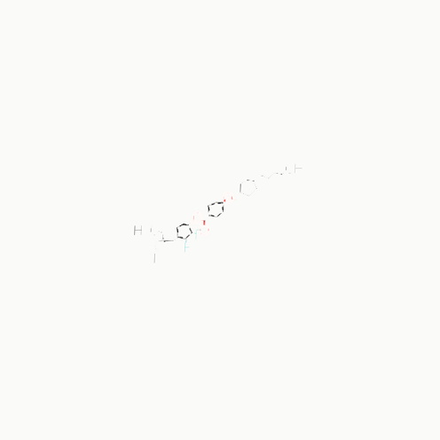 CCCCC[C@H]1CC[C@H](COc2ccc(C(=O)Oc3ccc(C[C@@H](C)CC)c(F)c3F)cc2)CC1